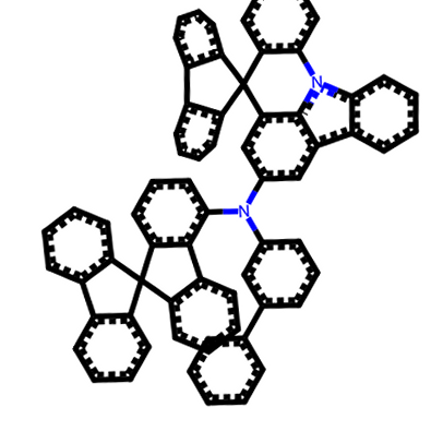 c1ccc(-c2cccc(N(c3cc4c5c(c3)c3ccccc3n5-c3ccccc3C43c4ccccc4-c4ccccc43)c3cccc4c3-c3ccccc3C43c4ccccc4-c4ccccc43)c2)cc1